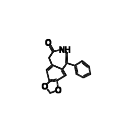 O=C1Cc2cc3c(cc2C(c2ccccc2)=CN1)OCO3